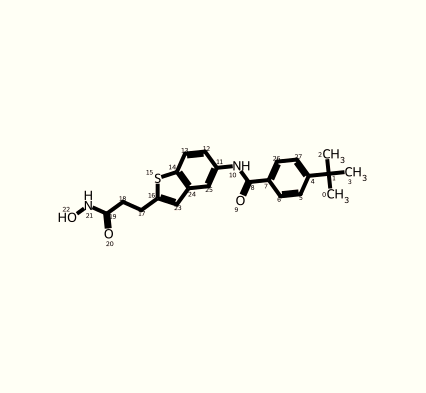 CC(C)(C)c1ccc(C(=O)Nc2ccc3sc(CCC(=O)NO)cc3c2)cc1